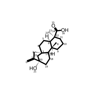 C=C1C[C@]23CC[C@@H]4[C@](C)(CCC[C@]4(C)C(=O)O)[C@H]2CC[C@]1(O)C3